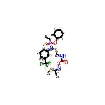 CCP(=S)(Oc1ccccc1)N(SCNC(=O)ON=C(C)SC)c1cccc(C(F)(F)F)c1